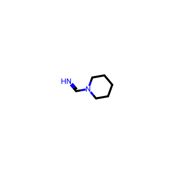 N=CN1CCCCC1